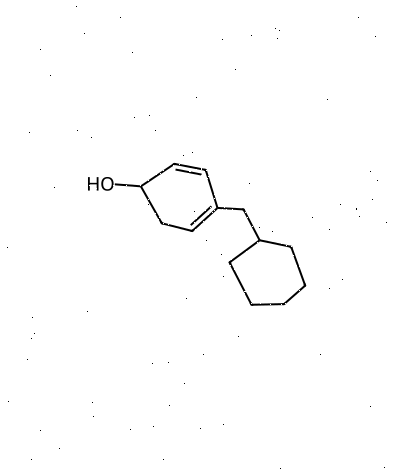 OC1C=CC(CC2CCCCC2)=CC1